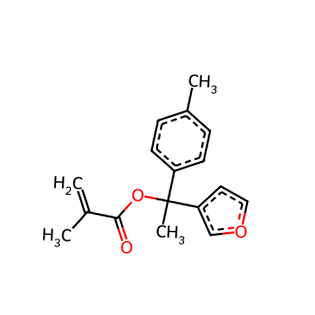 C=C(C)C(=O)OC(C)(c1ccc(C)cc1)c1ccoc1